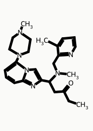 CCC(=O)CC(c1cn2c(N3CCN(C)CC3)cccc2n1)N(C)Cc1ncccc1C